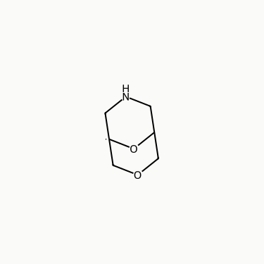 C1NCC2COC[C]1O2